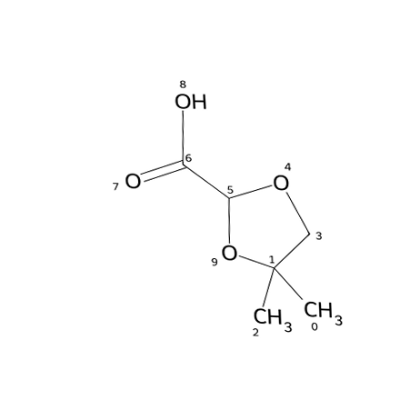 CC1(C)COC(C(=O)O)O1